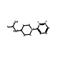 CC(S)NC1CCN(c2cccnn2)CC1